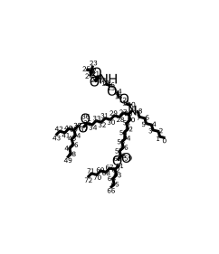 CCCCCCCCCN(CCOCCOCCNC(=O)OC(C)(C)C)C(CCCCCCCCC(=O)OCC(CCCC)CCCCCC)CCCCCCCCC(=O)OCC(CCCC)CCCCCC